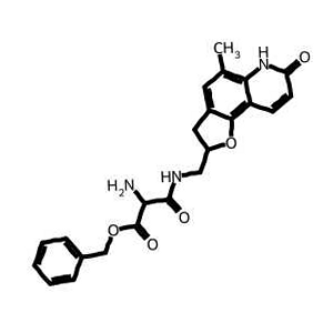 Cc1cc2c(c3ccc(=O)[nH]c13)OC(CNC(=O)C(N)C(=O)OCc1ccccc1)C2